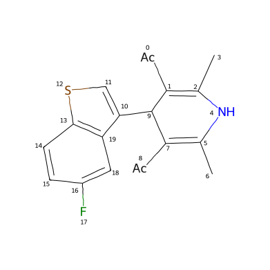 CC(=O)C1=C(C)NC(C)=C(C(C)=O)C1c1csc2ccc(F)cc12